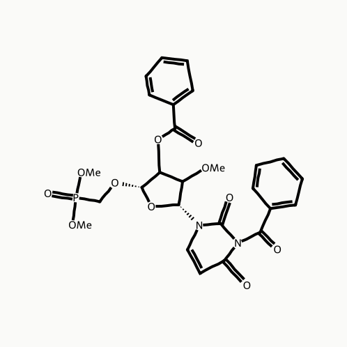 COC1C(OC(=O)c2ccccc2)[C@@H](OCP(=O)(OC)OC)O[C@H]1n1ccc(=O)n(C(=O)c2ccccc2)c1=O